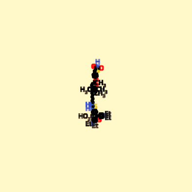 CCN(CC)c1ccc2c(-c3ccc(NC(=S)NCCCCCCc4c(C)c(C)c5c(c4C)CCC(C)(COc4ccc(/C=C6\SC(=O)NC6=O)cc4)O5)cc3C(=O)O)c3ccc(=[N+](CC)CC)cc-3oc2c1